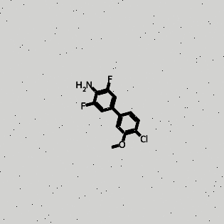 COc1cc(-c2cc(F)c(N)c(F)c2)ccc1Cl